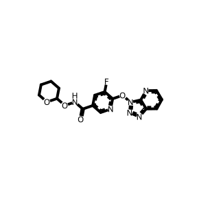 O=C(NOC1CCCCO1)c1cnc(On2nnc3cccnc32)c(F)c1